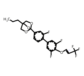 CCCC12COC(c3ccc(-c4cc(F)c(O/C=C/C(F)(F)F)c(F)c4)c(F)c3)(OC1)OC2